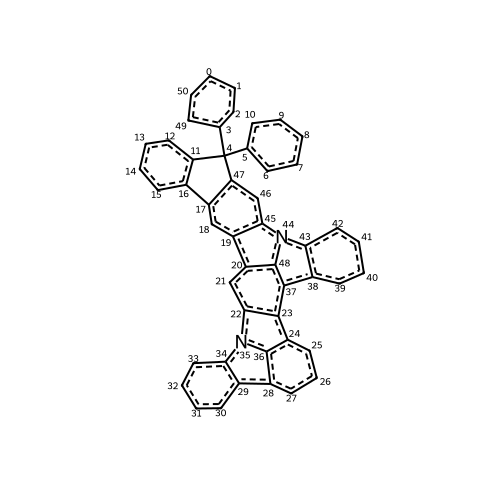 c1ccc(C2(c3ccccc3)c3ccccc3-c3cc4c5cc6c(c7cccc8c9ccccc9n6c87)c6c7ccccc7n(c4cc32)c56)cc1